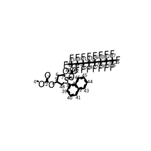 COC(=O)OC1CCS(OS(=O)(=O)C(F)(F)C(F)(F)C(F)(F)C(F)(F)C(F)(F)C(F)(F)C(F)(F)C(F)(F)F)(c2cccc3ccccc23)C1